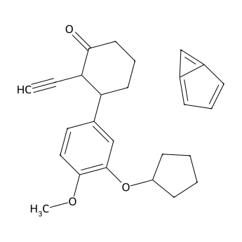 C#CC1C(=O)CCCC1c1ccc(OC)c(OC2CCCC2)c1.c1cc2cc-2c1